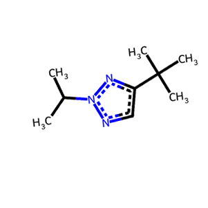 CC(C)n1ncc(C(C)(C)C)n1